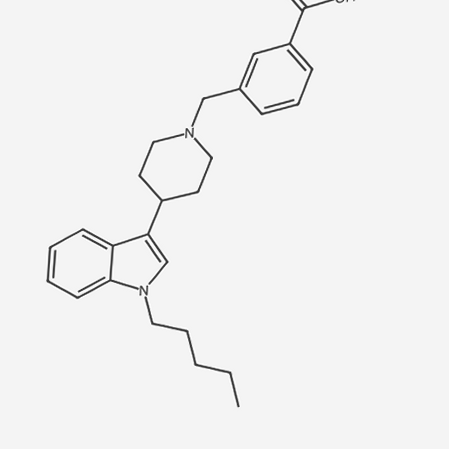 CCCCCn1cc(C2CCN(Cc3cccc(C(=O)O)c3)CC2)c2ccccc21